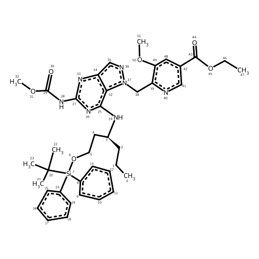 CCC[C@@H](CCO[Si](c1ccccc1)(c1ccccc1)C(C)(C)C)Nc1nc(NC(=O)OC)nc2cnn(Cc3ncc(C(=O)OCC)cc3OC)c12